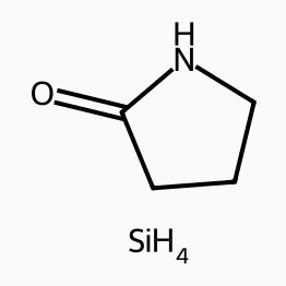 O=C1CCCN1.[SiH4]